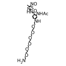 CC(=O)Nc1cc(NCCOCCOCCOCCOCCOCCOCCN)ccc1C(=O)Nc1nc(C)c(N=O)s1